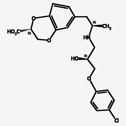 C[C@H](Cc1ccc2c(c1)OC[C@H](C(=O)O)O2)NC[C@H](O)COc1ccc(Cl)cc1